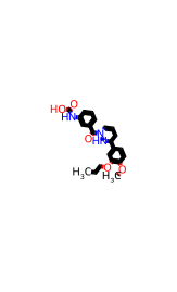 CCCOc1cc(C2CC=CN(C(=O)c3cccc(NC(=O)O)c3)N2)ccc1OC